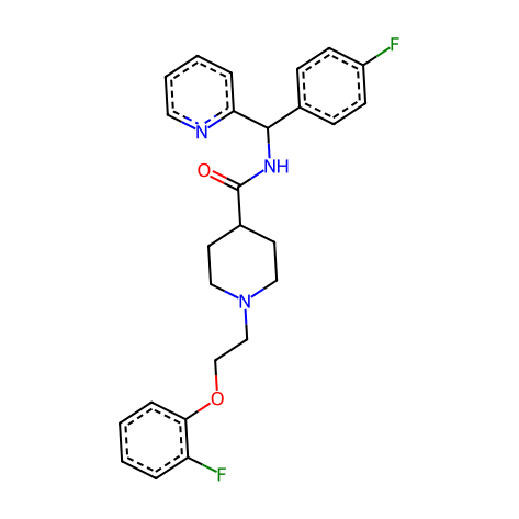 O=C(NC(c1ccc(F)cc1)c1ccccn1)C1CCN(CCOc2ccccc2F)CC1